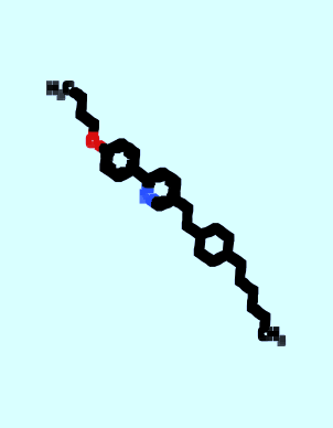 CCCCCCC1CCC(CCc2ccc(-c3ccc(OCCCC)cc3)nc2)CC1